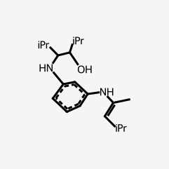 CC(=CC(C)C)Nc1cccc(NC(C(C)C)C(O)C(C)C)c1